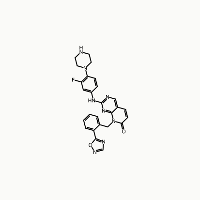 O=c1ccc2cnc(Nc3ccc(N4CCNCC4)c(F)c3)nc2n1Cc1ccccc1-c1ncno1